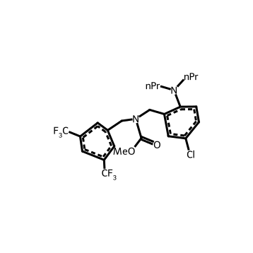 CCCN(CCC)c1ccc(Cl)cc1CN(Cc1cc(C(F)(F)F)cc(C(F)(F)F)c1)C(=O)OC